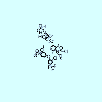 CCOCN(C(=O)CCl)c1c(C)cccc1CC.CCOc1cc(Oc2ccc(C(F)(F)F)cc2Cl)ccc1[N+](=O)[O-].C[S+](C)C.O=C(O)CNCP(=O)([O-])O